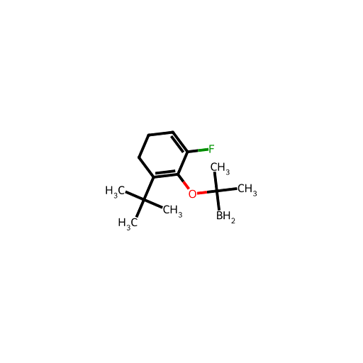 BC(C)(C)OC1=C(C(C)(C)C)CCC=C1F